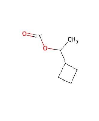 CC(O[C]=O)C1CCC1